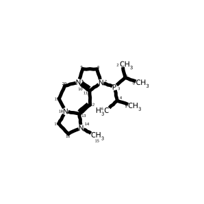 CC(C)P(C(C)C)N1CC[N+]2=C1C=C1N(C)CCN1CC2